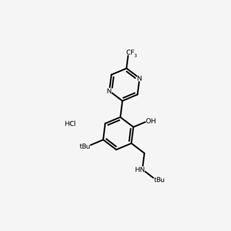 CC(C)(C)NCc1cc(C(C)(C)C)cc(-c2cnc(C(F)(F)F)cn2)c1O.Cl